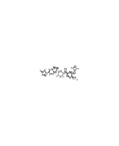 Cn1cnc(-c2ccn3c([C@H]4CCC[C@@H](Nc5ncc(C(F)(F)F)c(OC6COC6)n5)C4)nnc3c2)c1